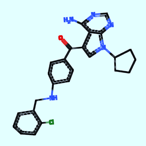 Nc1ncnc2c1c(C(=O)c1ccc(NCc3ccccc3Cl)cc1)cn2C1CCCC1